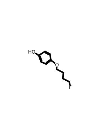 Oc1ccc(OCCCCF)cc1